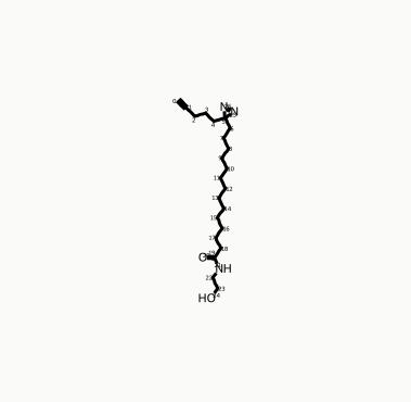 C#CCCCC1(CCCCCCCCCCCCCC(=O)NCCO)N=N1